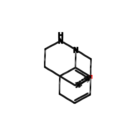 C1=CCC23CCNN(Cc4ccccc42)C3=C1